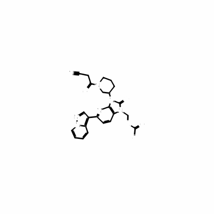 CC(=O)OCn1c(=O)n(C2CCCN(C(=O)CC#N)C2)c2nc(-c3cnn4ccccc34)ccc21